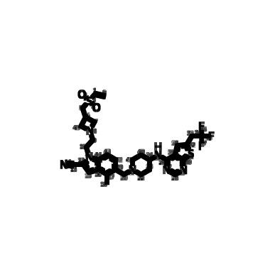 C=CS(=O)(=O)CC1CN(CCn2c(C#N)cc3c(C)c(CN4CCC(Nc5ncnc6sc(CC(F)(F)F)cc56)CC4)ccc32)C1